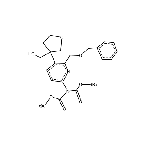 CC(C)(C)OC(=O)N(C(=O)OC(C)(C)C)c1ccc(C2(CO)CCOC2)c(COCc2ccccc2)n1